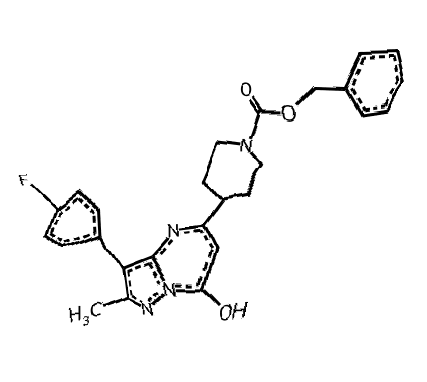 Cc1nn2c(O)cc(C3CCN(C(=O)OCc4ccccc4)CC3)nc2c1-c1ccc(F)cc1